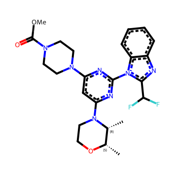 COC(=O)N1CCN(c2cc(N3CCO[C@@H](C)[C@H]3C)nc(-n3c(C(F)F)nc4ccccc43)n2)CC1